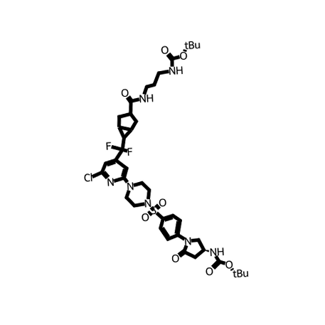 CC(C)(C)OC(=O)NCCCNC(=O)C1CC2C(C1)C2C(F)(F)c1cc(Cl)nc(N2CCN(S(=O)(=O)c3ccc(N4C[C@H](NC(=O)OC(C)(C)C)CC4=O)cc3)CC2)c1